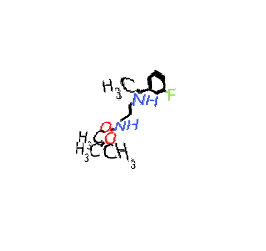 CC(NCCCNC(=O)OC(C)(C)C)c1cccc(F)c1